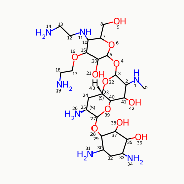 CNC1C(OC2OC(CO)C(NCCN)C(OCCN)C2O)O[C@H]2C[C@H](N)C(OC3C(N)CC(N)C(O)C3O)OC2C1O